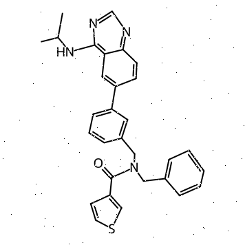 CC(C)Nc1ncnc2ccc(-c3cccc(CN(Cc4ccccc4)C(=O)c4ccsc4)c3)cc12